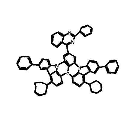 c1ccc(-c2ccc3c(c2)c2c(C4CCCCC4)ccc4c2n3-c2cc(-c3nc(-c5ccccc5)nc5ccccc35)cc3c2B4c2ccc(C4CCCCC4)c4c5cc(-c6ccccc6)ccc5n-3c24)cc1